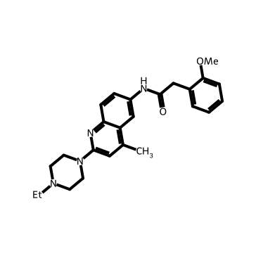 CCN1CCN(c2cc(C)c3cc(NC(=O)Cc4ccccc4OC)ccc3n2)CC1